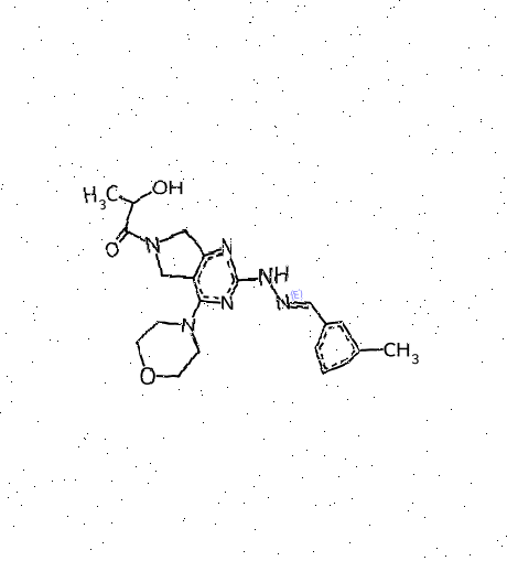 Cc1cccc(/C=N/Nc2nc3c(c(N4CCOCC4)n2)CN(C(=O)C(C)O)C3)c1